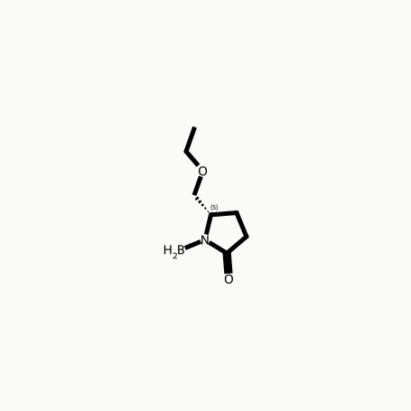 BN1C(=O)CC[C@H]1COCC